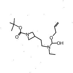 C=CCOC(O)N(CC)CCC1CN(C(=O)OC(C)(C)C)C1